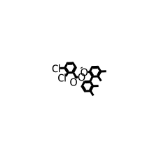 COc1ccc(C)c(C)c1-c1c(OC(=O)c2cccc(Cl)c2Cl)ccc(C)c1C